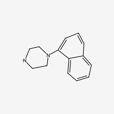 c1ccc2c(N3CC[N]CC3)cccc2c1